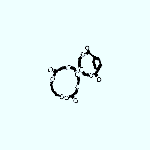 O=C1CCCCCCCC(=O)OCCCCO1.O=C1OCCCCOC(=O)c2ccc1cc2